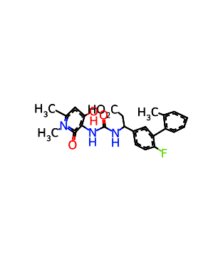 Cc1ccccc1-c1cc(C(CC(=O)O)NC(=O)Nc2c(O)cc(C)n(C)c2=O)ccc1F